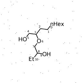 CCCCCCCCC(CO)OCC(O)CC